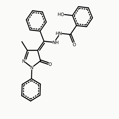 CC1=NN(c2ccccc2)C(=O)/C1=C(\NNC(=O)c1ccccc1O)c1ccccc1